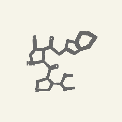 COC(OC)[C@@H]1CSCN1C(=O)[C@H]1NCC(=S)C1C(=O)CC1=Cc2ccccc2C1